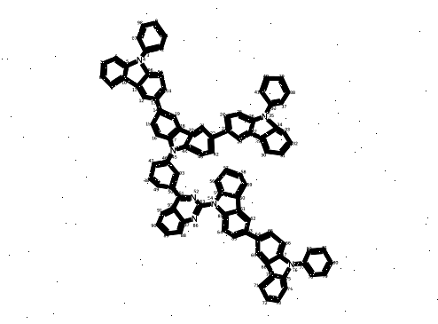 c1ccc(-n2c3ccccc3c3cc(-c4ccc5c(c4)c4cc(-c6ccc7c(c6)c6ccccc6n7-c6ccccc6)ccc4n5-c4cccc(-c5nc(-n6c7ccccc7c7cc(-c8ccc9c(c8)c8ccccc8n9-c8ccccc8)ccc76)nc6ccccc56)c4)ccc32)cc1